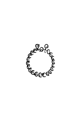 O=C1CCCCCCCCCCCCCCCCCCCC(=O)O1